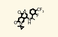 C[C@@H](Nc1cn(C)c(=O)c2cc(=O)n(C3(C)CC3)cc12)c1cccc(C(F)(F)F)c1F